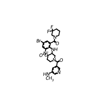 CNc1cncc(C(=O)N2CCCC(Nc3c(C(=O)N4CCCC(F)(F)C4)cc(Br)cc3[N+](=O)[O-])C2)c1